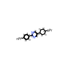 CCCc1ccc(-c2ncc(C3CCC(CCC)CC3)cn2)cc1